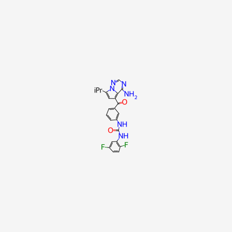 CC(C)c1cc(C(=O)c2cccc(NC(=O)Nc3cc(F)ccc3F)c2)c2c(N)ncnn12